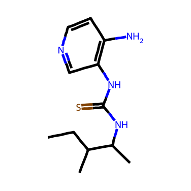 CCC(C)C(C)NC(=S)Nc1cnccc1N